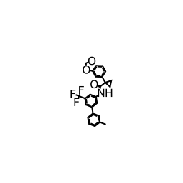 Cc1cccc(-c2cc(NC(=O)C3(c4ccc5c(c4)OCO5)CC3)cc(C(F)(F)F)c2)c1